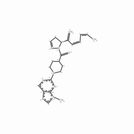 C=C(/C=C\C=C/C)[C@@H]1CC=NN1C(=O)C1CCN(c2ncc3ncn(C)c3n2)CC1